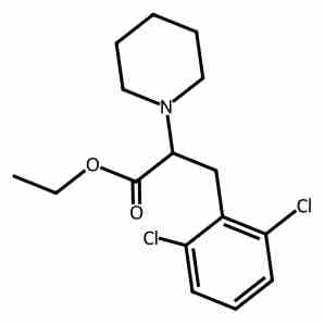 CCOC(=O)C(Cc1c(Cl)cccc1Cl)N1CCCCC1